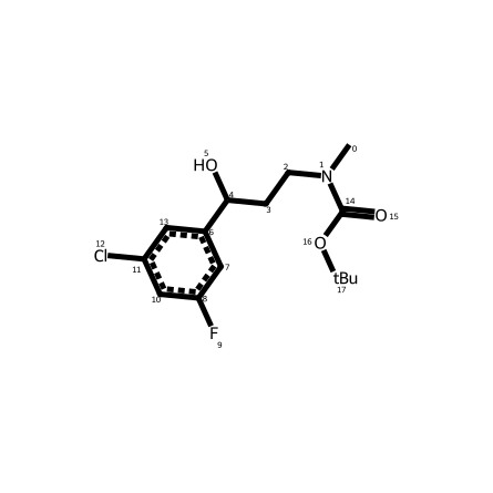 CN(CCC(O)c1cc(F)cc(Cl)c1)C(=O)OC(C)(C)C